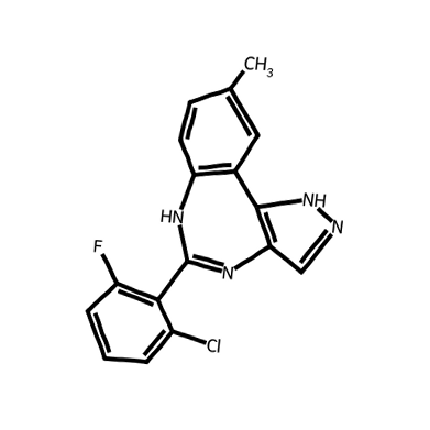 Cc1ccc2c(c1)-c1[nH]ncc1N=C(c1c(F)cccc1Cl)N2